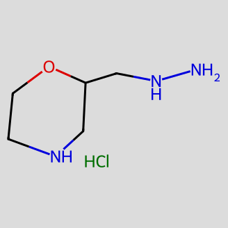 Cl.NNCC1CNCCO1